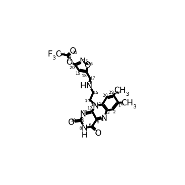 Cc1cc2nc3c(=O)[nH]c(=O)nc-3n(CCNCc3cc(OC(=O)C(F)(F)F)no3)c2cc1C